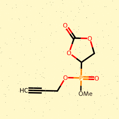 C#CCOP(=O)(OC)C1COC(=O)O1